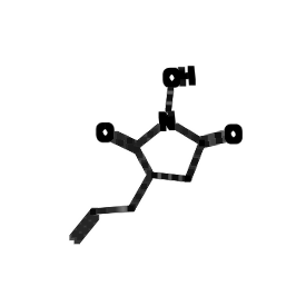 C=CCC1CC(=O)N(O)C1=O